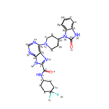 Cn1c(C(=O)NC2CCC(F)(F)CC2)nc2c(N3CCC(n4c(=O)[nH]c5ccccc54)CC3)ncnc21